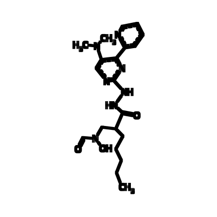 CCCCCC(CN(O)C=O)C(=O)NNc1ncc(N(C)C)c(-c2ccccn2)n1